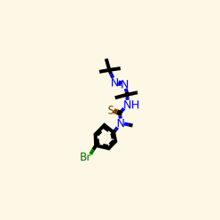 CN(C(=S)NC(C)(C)N=NC(C)(C)C)c1ccc(Br)cc1